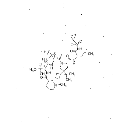 CCC[C@H](NC(=O)[C@@H]1C[C@@]2(CN1C(=O)[C@@H](NC(=O)[C@@H](NC(=O)[C@@H]1CCCN(C)C1)C(C)(C)C)C(C)(C)C)C(C)(C)C21CCC1)C(=O)NS(=O)(=O)C1CC1